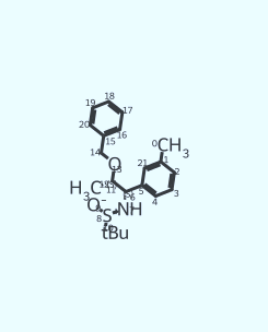 Cc1cccc([C@H](N[S+]([O-])C(C)(C)C)[C@H](C)OCc2ccccc2)c1